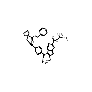 CCc1cc2cc(C(=O)OC(C)C)ccn2c1C(=O)c1ccc(C#CCC2(C(=O)OCc3ccccc3)CCCC2)cc1